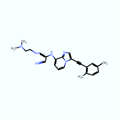 Cc1ccc(C)c(C#Cc2cnc3c(N/C(C=N)=C/NCCN(C)C)cccn23)c1